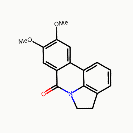 COc1cc2c(=O)n3c4c(cccc4c2cc1OC)CC3